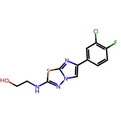 OCCNc1nn2cc(-c3ccc(F)c(Cl)c3)nc2s1